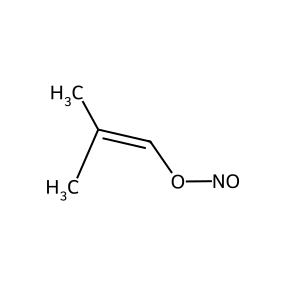 CC(C)=CON=O